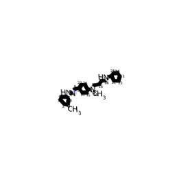 Cc1cccc(N/N=C/c2ccc(N(C)CCCCNc3ccccc3)cc2)c1